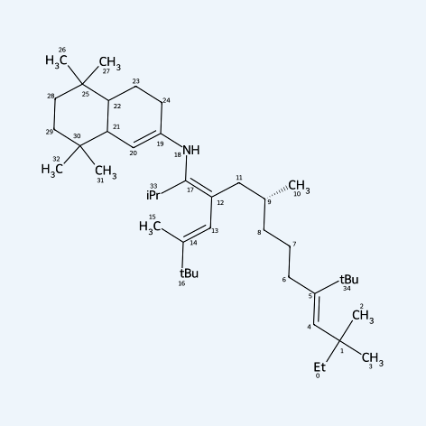 CCC(C)(C)/C=C(/CCC[C@@H](C)CC(/C=C(\C)C(C)(C)C)=C(\NC1=CC2C(CC1)C(C)(C)CCC2(C)C)C(C)C)C(C)(C)C